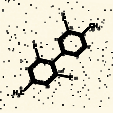 Cc1cc(F)c(-c2ccc(C)c(F)c2)c(F)c1